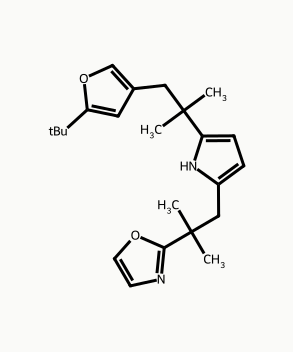 CC(C)(C)c1cc(CC(C)(C)c2ccc(CC(C)(C)c3ncco3)[nH]2)co1